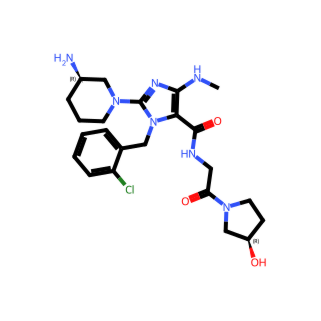 CNc1nc(N2CCC[C@@H](N)C2)n(Cc2ccccc2Cl)c1C(=O)NCC(=O)N1CC[C@@H](O)C1